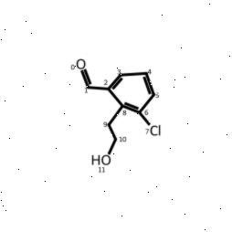 O=Cc1cccc(Cl)c1CCO